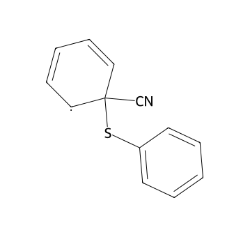 N#CC1(Sc2ccccc2)[CH]C=CC=C1